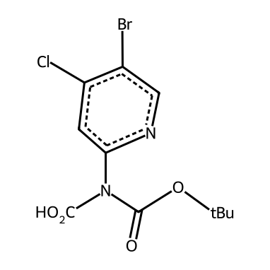 CC(C)(C)OC(=O)N(C(=O)O)c1cc(Cl)c(Br)cn1